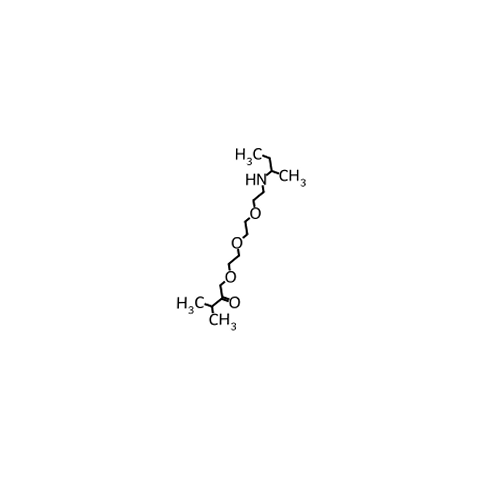 CCC(C)NCCOCCOCCOCC(=O)C(C)C